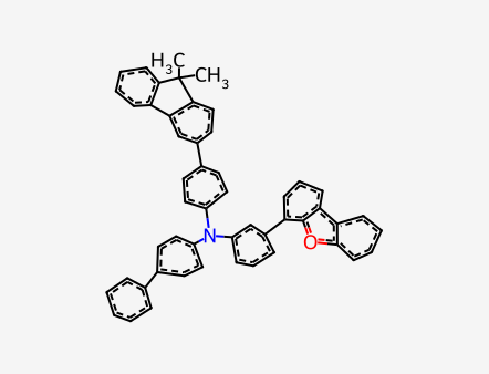 CC1(C)c2ccccc2-c2cc(-c3ccc(N(c4ccc(-c5ccccc5)cc4)c4cccc(-c5cccc6c5oc5ccccc56)c4)cc3)ccc21